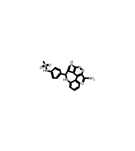 CS(=O)(=O)Nc1ccc(C2Nc3ccccc3-c3c(C(N)=O)nnc4[nH]cc2c34)cc1